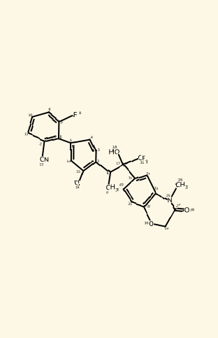 CC(c1ccc(-c2c(F)cccc2C#N)cc1Cl)C(O)(c1ccc2c(c1)N(C)C(=O)CO2)C(F)(F)F